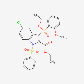 CCOC(=O)c1c(P(=O)(OCC)c2ccccc2OC)c2cc(Cl)ccc2n1S(=O)(=O)c1ccccc1